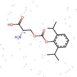 CC(C)c1cccc(C(C)C)c1OC(=O)OC[C@H](N)C(=O)O